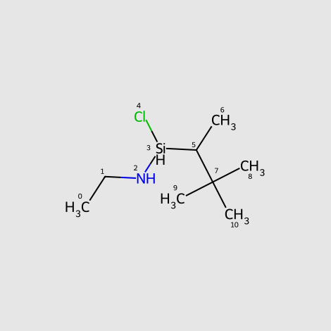 CCN[SiH](Cl)C(C)C(C)(C)C